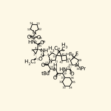 C=C[C@@H]1C[C@]1(NC(=O)[C@@H]1C[C@@]2(CN1C(=O)[C@@H](NC(=O)[C@@H](NC(=O)[C@@H]1CC(F)(F)CN1C(C)C)C1CCCCC1)C(C)(C)C)C(C)(C)C21CCC1)C(=O)NS(=O)(=O)N1CCCC1